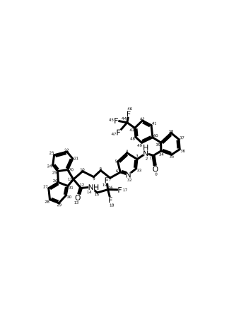 O=C(Nc1ccc(CCCCC2(C(=O)NCC(F)(F)F)c3ccccc3-c3ccccc32)nc1)c1ccccc1-c1ccc(C(F)(F)F)cc1